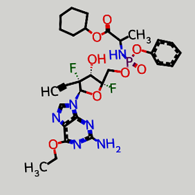 C#C[C@]1(F)[C@H](n2cnc3c(OCC)nc(N)nc32)O[C@](F)(COP(=O)(NC(C)C(=O)OC2CCCCC2)Oc2ccccc2)[C@H]1O